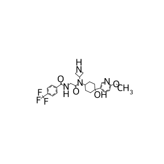 COc1ccc(C2(O)CCC(N(C(=O)CNC(=O)c3ccc(C(F)(F)F)cc3)C3CNC3)CC2)cn1